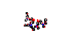 c1ccc(-c2ccc(N(c3ccccc3)c3ccc4c(ccc5oc6ccc7cc(N(c8ccc(-c9ccccc9)cc8)c8ccc(-c9ccccc9-c9cccc(N(c%10ccccc%10)c%10ccc%11c(ccc%12oc%13ccc%14cc(N(c%15ccccc%15)c%15cccc(-c%16ccccc%16)c%15)ccc%14c%13c%12%11)c%10)c9)cc8)ccc7c6c54)c3)cc2)cc1